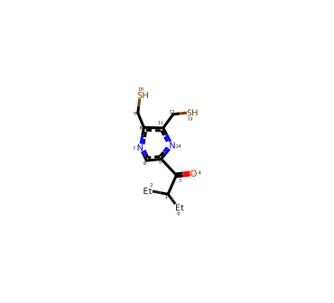 CCC(CC)C(=O)c1cnc(CS)c(CS)n1